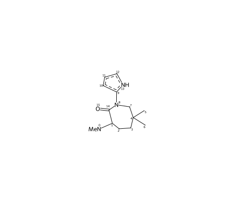 CNC1CCC(C)(C)CN(c2ccc[nH]2)C1=O